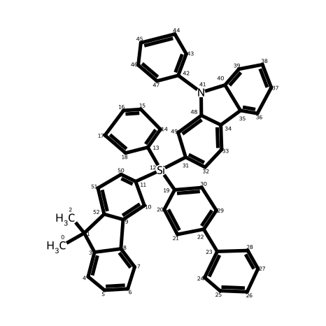 CC1(C)c2ccccc2-c2cc([Si](c3ccccc3)(c3ccc(-c4ccccc4)cc3)c3ccc4c5ccccc5n(-c5ccccc5)c4c3)ccc21